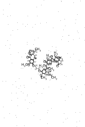 C=CNC(=O)c1cc(OC)c(OCCCOc2cc3c(cc2OC)C(=O)N(OC)C(CCC)C=N3)cc1N(C)C(C)NC(=O)[C@H](C)NC(=O)[C@@H](NN1C(=O)CCC1=O)C(C)C